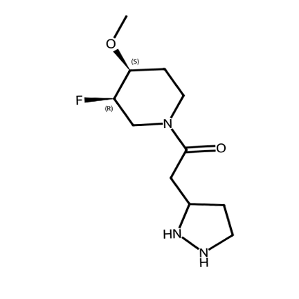 CO[C@H]1CCN(C(=O)CC2CCNN2)C[C@H]1F